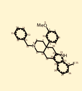 COc1cccc(C23CCN(Cc4ccccc4)CC2Cc2c([nH]c4c(F)cccc24)C3)c1